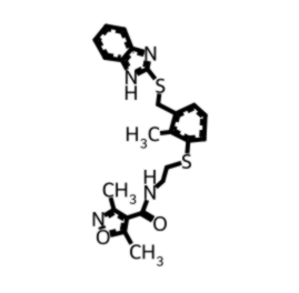 Cc1noc(C)c1C(=O)NCCSc1cccc(CSc2nc3ccccc3[nH]2)c1C